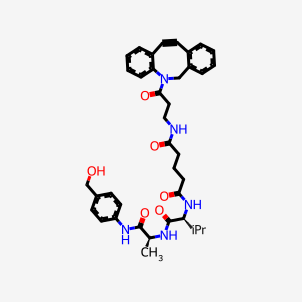 CC(C)[C@H](NC(=O)CCCC(=O)NCCC(=O)N1Cc2ccccc2C#Cc2ccccc21)C(=O)N[C@@H](C)C(=O)Nc1ccc(CO)cc1